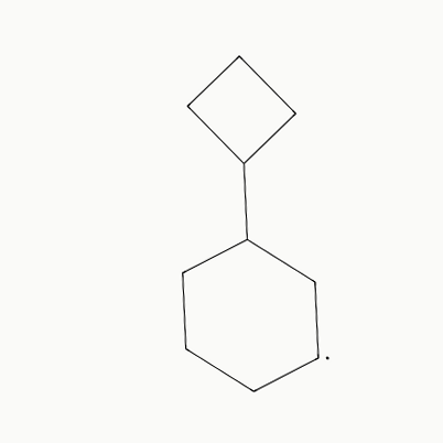 [CH]1CCCC(C2CCC2)C1